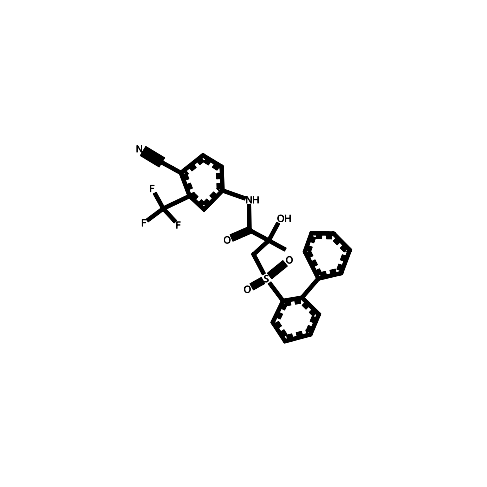 CC(O)(CS(=O)(=O)c1ccccc1-c1ccccc1)C(=O)Nc1ccc(C#N)c(C(F)(F)F)c1